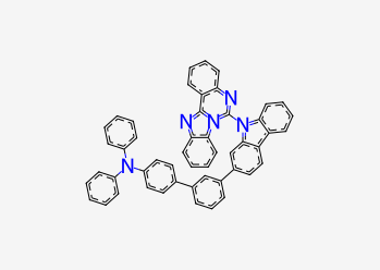 c1ccc(N(c2ccccc2)c2ccc(-c3cccc(-c4ccc5c6ccccc6n(-c6nc7ccccc7c7nc8ccccc8n67)c5c4)c3)cc2)cc1